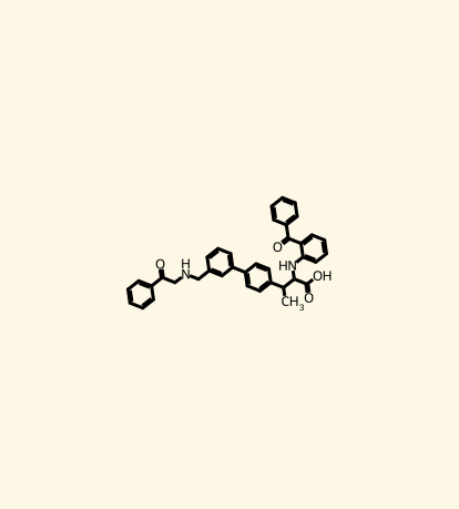 CC(c1ccc(-c2cccc(CNCC(=O)c3ccccc3)c2)cc1)C(Nc1ccccc1C(=O)c1ccccc1)C(=O)O